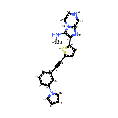 CC(C)(C)Nc1c(-c2ccc(C#Cc3cccc(-n4cccc4)c3)s2)nc2cnccn12